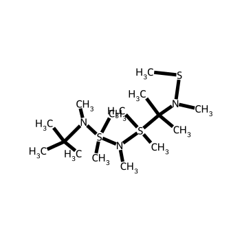 CSN(C)C(C)(C)S(C)(C)N(C)S(C)(C)N(C)C(C)(C)C